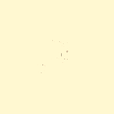 CNc1ncc(Cl)c(Nc2ccc(N3CCC(N4CCCCC4)CC3)c3c2C(=O)N(C)C3)n1